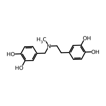 CN(CCc1ccc(O)c(O)c1)Cc1ccc(O)c(O)c1